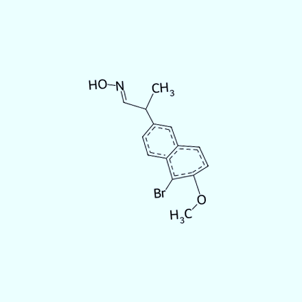 COc1ccc2cc(C(C)C=NO)ccc2c1Br